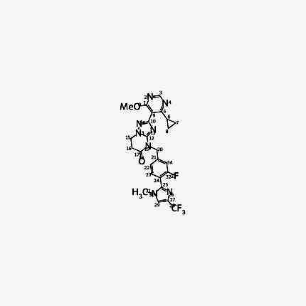 COc1ncnc(C2CC2)c1-c1nc2n(n1)CCC(=O)N2Cc1ccc(-c2nc(C(F)(F)F)cn2C)c(F)c1